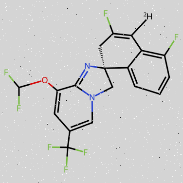 [2H]C1=C(F)C[C@@]2(CN3C=C(C(F)(F)F)C=C(OC(F)F)C3=N2)c2cccc(F)c21